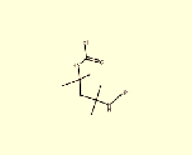 CCC(=O)NC(C)(C)CC(C)(C)NC(C)C